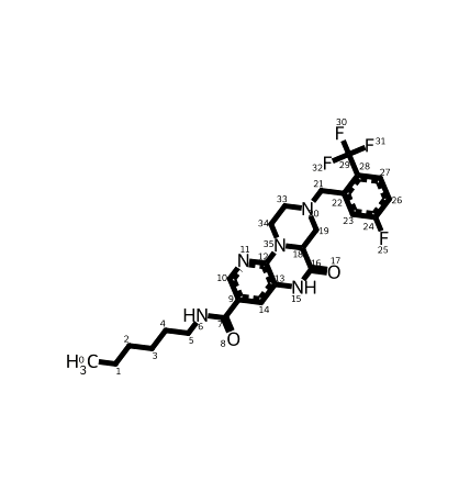 CCCCCCNC(=O)c1cnc2c(c1)NC(=O)C1CN(Cc3cc(F)ccc3C(F)(F)F)CCN21